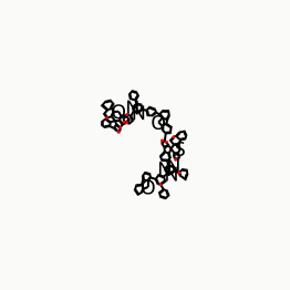 c1ccc(-c2cc(-c3nc(-c4ccccc4)nc(-c4ccc5c(c4)C4(c6ccccc6Sc6c4ccc4ccccc64)c4cc(-c6ccc7c(c6)oc6c(-c8ccc(-c9cc(-c%10ccccc%10)nc(-c%10ccc(-c%11cccc%12c%11C%11(c%13ccccc%13Oc%13c%11ccc%11ccccc%13%11)c%11ccccc%11-%12)cc%10)n9)cc8)cccc67)ccc4-5)n3)cc(-c3cccc4c3oc3ccccc34)c2)cc1